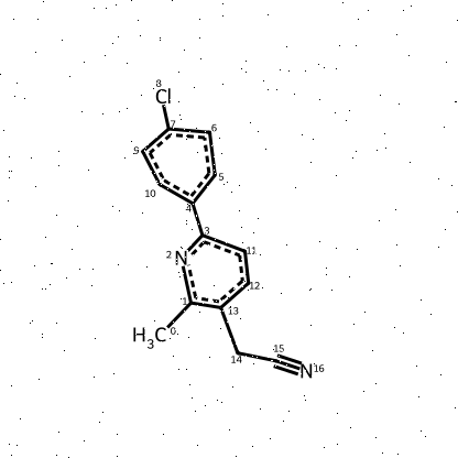 Cc1nc(-c2ccc(Cl)cc2)ccc1CC#N